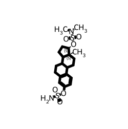 CN(C)S(=O)(=O)O[C@H]1CCC2C3CCc4cc(OS(N)(=O)=O)ccc4C3CC[C@@]21C